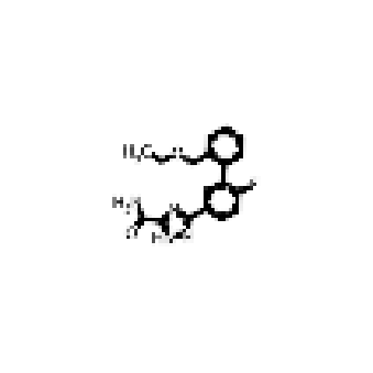 CCOCc1ccccc1-c1cc(-c2n[nH]c(C(N)=O)n2)ccc1F